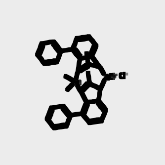 CC1=[C]2c3c(-c4ccccc4)cccc3[CH]1[Zr+2][CH]1C(C)=[C](c3c(-c4ccccc4)cccc31)[Sn]2([CH3])[CH3].[Cl-].[Cl-]